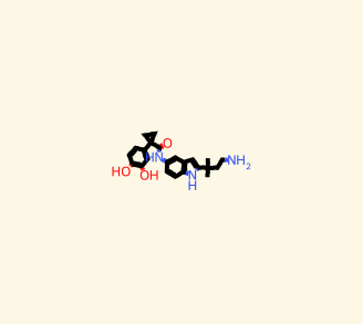 CC(C)(CCN)c1cc2cc(NC(=O)C3(c4ccc(O)c(O)c4)CC3)ccc2[nH]1